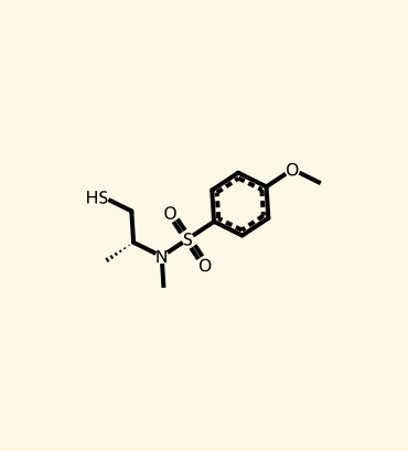 COc1ccc(S(=O)(=O)N(C)[C@H](C)CS)cc1